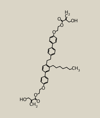 C=C(CO)C(=O)OCCOc1ccc(-c2ccc(CCc3ccc(-c4ccc(OCCOC(=O)C(=C)CO)cc4)cc3CCCCCCC)cc2)cc1